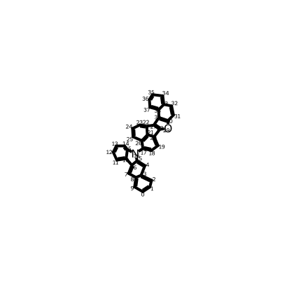 c1ccc2cc3c(cc2c1)c1ccccc1n3-c1ccc2c3c(cccc13)-c1c-2oc2ccc3ccccc3c12